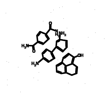 NC(=O)c1ccc(C(N)=O)cc1.Nc1ccc(-c2cccc(N)c2)cc1.Oc1ccc2cccc3c2c1C=CC3